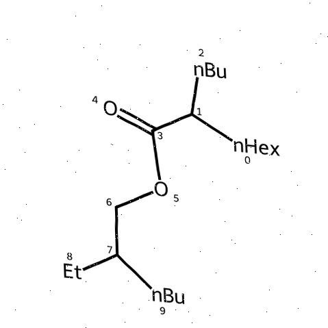 CCCCCCC(CCCC)C(=O)OCC(CC)CCCC